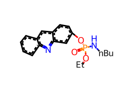 CCCCNP(=O)(OCC)Oc1ccc2cc3ccccc3nc2c1